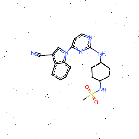 CS(=O)(=O)NC1CCC(Nc2nccc(-n3cc(C#N)c4ccccc43)n2)CC1